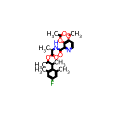 COc1ccnc(C(=O)N[C@@H](C)C(=O)OC(C)C(C)c2c(C)cc(F)cc2C)c1OC(C)=O